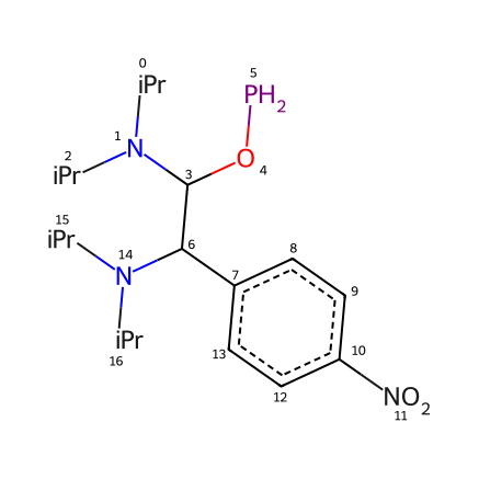 CC(C)N(C(C)C)C(OP)C(c1ccc([N+](=O)[O-])cc1)N(C(C)C)C(C)C